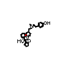 CN(CCc1ccc(O)cc1)CCC1CCN(C(=O)C(O)(c2ccccc2)C2CCCC2)CC1